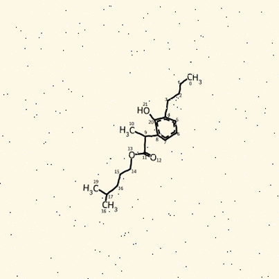 CCCCc1cccc(C(C)C(=O)OCCCC(C)C)c1O